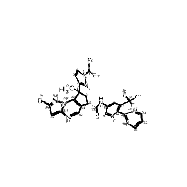 C[C@@]1(c2ccn(C(F)F)n2)C[C@H](C(=O)Nc2cnc(-c3ncccn3)c(C(F)(F)F)c2)c2cnc3cc(Cl)nn3c21